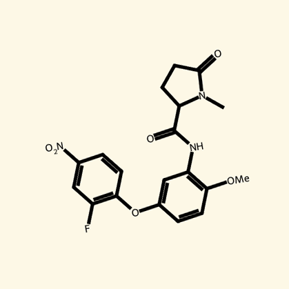 COc1ccc(Oc2ccc([N+](=O)[O-])cc2F)cc1NC(=O)C1CCC(=O)N1C